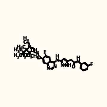 [CH2]C(N(CC)CCCOc1cc2ncnc(Nc3cc(CC(=O)Nc4cccc(F)c4)[nH]n3)c2cc1F)(C(C)(C)C)C(C)(C)C